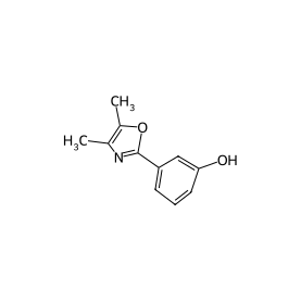 Cc1nc(-c2cccc(O)c2)oc1C